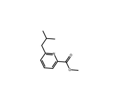 COC(=O)c1cccc(CC(C)C)n1